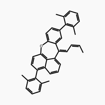 C/C=C\C=c1/c2cc(-c3c(C)cccc3C)ccc2oc2ccc(-c3c(C)cccc3C)c3cccc1c23